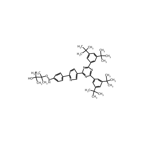 CC(C)(C)c1cc(-c2nc(-c3ccc(-c4ccc(BOC(C)(C)C(C)(C)O)cc4)nc3)nc(-c3cc(C(C)(C)C)cc(C(C)(C)C)c3)n2)cc(C(C)(C)C)c1